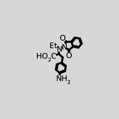 CCN(C(Cc1ccc(N)cc1)C(=O)O)N1C(=O)c2ccccc2C1=O